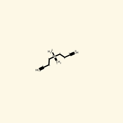 C#CCCP(=C)(C)CCC#C